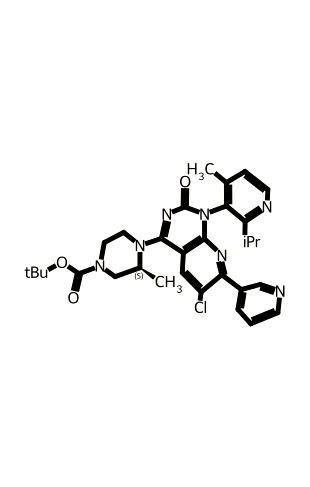 Cc1ccnc(C(C)C)c1-n1c(=O)nc(N2CCN(C(=O)OC(C)(C)C)C[C@@H]2C)c2cc(Cl)c(-c3cccnc3)nc21